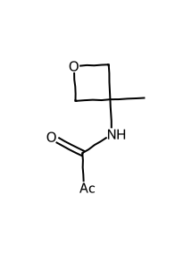 CC(=O)C(=O)NC1(C)COC1